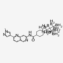 BC(B)(B)C(B)(C(B)(B)B)C(B)(B)N1CCC(C(=O)Nc2cc3nc(-c4cnn(C)c4)ccc3cn2)CC1